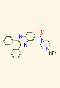 CCCN1CCN(C(=O)c2ccc3nc(-c4ccccc4)c(-c4ccccc4)nc3c2)CC1